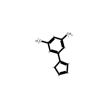 Cc1cc(C)cc(C2=CC=C[CH]2)c1